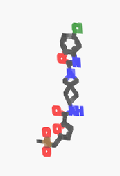 CS(=O)(=O)Cc1ccc(C(=O)NC2CC3(C2)CN(c2nc4cc(Cl)ccc4o2)C3)o1